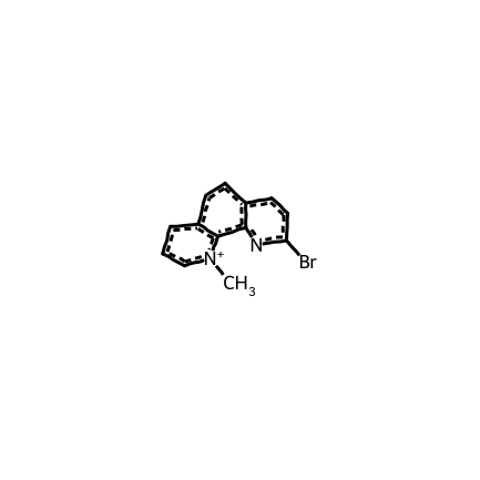 C[n+]1cccc2ccc3ccc(Br)nc3c21